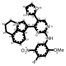 COc1cc(F)c([N+](=O)[O-])cc1Nc1ncc(-c2ncco2)c(-c2cn3c4c(cccc24)CCC3)n1